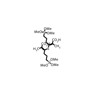 CO[Si](CCCC(SC(CCC[Si](OC)(OC)OC)=C(C)C(=O)O)=C(C)C(=O)O)(OC)OC